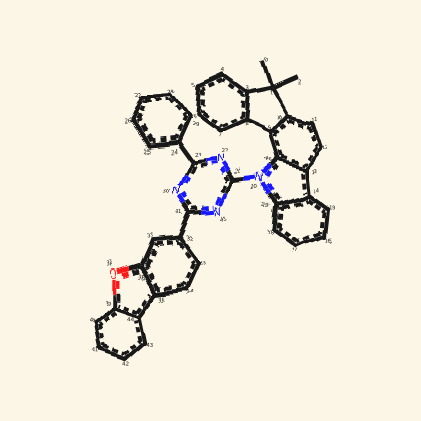 CC1(C)c2ccccc2-c2c1ccc1c3ccccc3n(-c3nc(-c4ccccc4)nc(-c4ccc5c(c4)oc4ccccc45)n3)c21